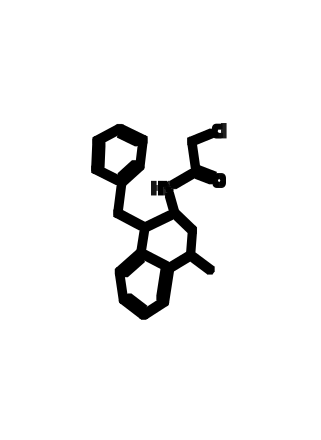 CC1CC(NC(=O)CCl)C(Cc2ccccc2)c2ccccc21